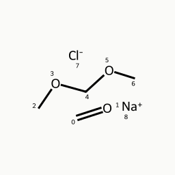 C=O.COCOC.[Cl-].[Na+]